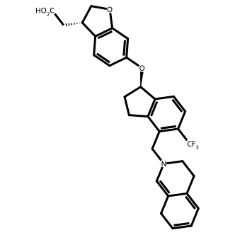 O=C(O)C[C@@H]1COc2cc(O[C@@H]3CCc4c3ccc(C(F)(F)F)c4CN3C=C4CC=CC=C4CC3)ccc21